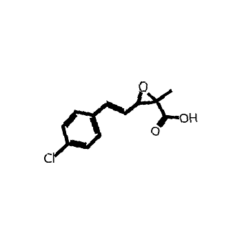 CC1(C(=O)O)OC1/C=C/c1ccc(Cl)cc1